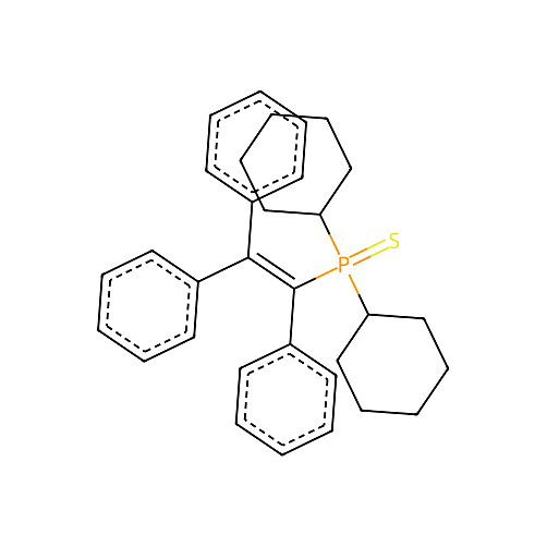 S=P(C(=C(c1ccccc1)c1ccccc1)c1ccccc1)(C1CCCCC1)C1CCCCC1